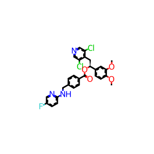 COc1ccc([C@H](Cc2c(Cl)cncc2Cl)OC(=O)c2ccc(CNc3ccc(F)cn3)cc2)cc1OC